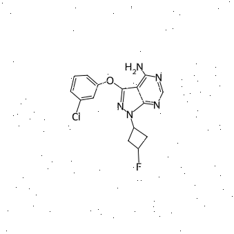 Nc1ncnc2c1c(Oc1cccc(Cl)c1)nn2C1CC(F)C1